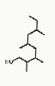 CCC(C)CC(C)CC(C)C(C)CO